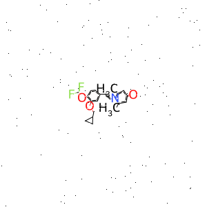 Cc1cc(=O)cc(C)n1C=Cc1ccc(OC(F)F)c(OCC2CC2)c1